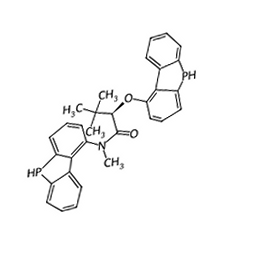 CN(C(=O)[C@H](Oc1cccc2[pH]c3ccccc3c12)C(C)(C)C)c1cccc2[pH]c3ccccc3c12